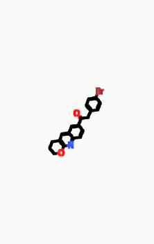 O=C(Cc1ccc(Br)cc1)c1ccc2nc3c(cc2c1)CCCO3